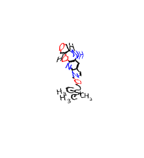 C[Si](C)(C)CCOCn1ccc2cc3c(nc21)O[C@H]1COC[C@@H]1N3